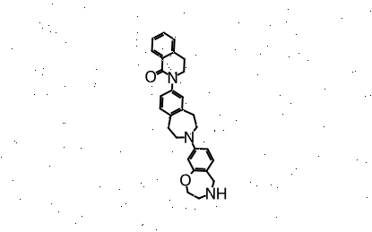 O=C1c2ccccc2CCN1c1ccc2c(c1)CCN(c1ccc3c(c1)OCCNC3)CC2